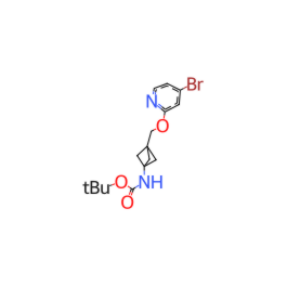 CC(C)(C)OC(=O)NC12CC(COc3cc(Br)ccn3)(C1)C2